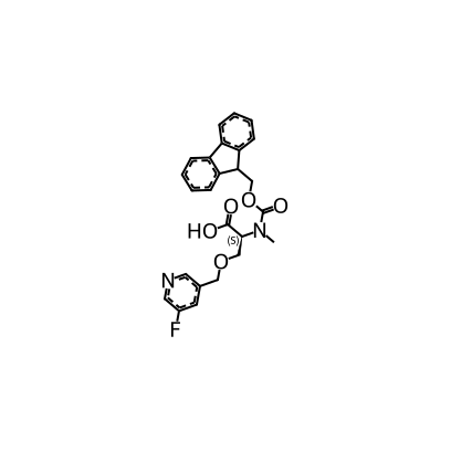 CN(C(=O)OCC1c2ccccc2-c2ccccc21)[C@@H](COCc1cncc(F)c1)C(=O)O